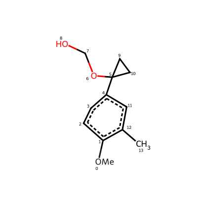 COc1ccc(C2(OCO)CC2)cc1C